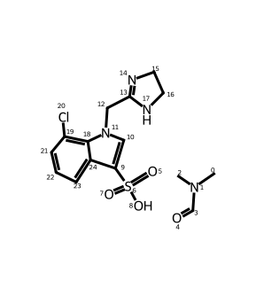 CN(C)C=O.O=S(=O)(O)c1cn(CC2=NCCN2)c2c(Cl)cccc12